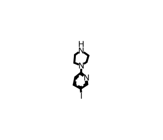 Ic1ccc(N2CCNCC2)nc1